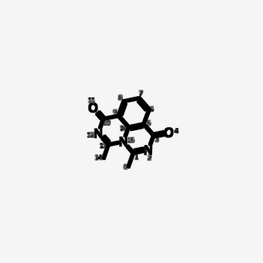 Cc1nc(=O)c2cccc3c(=O)nc(C)n1c23